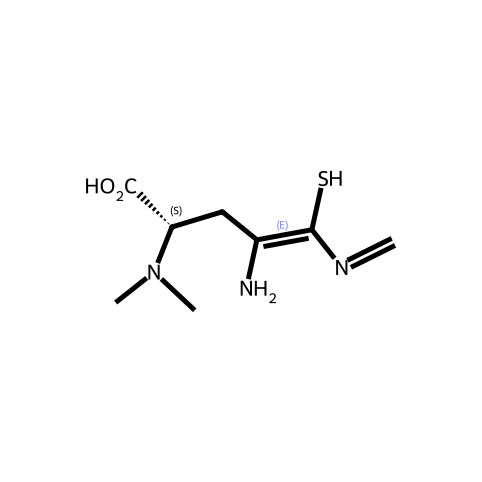 C=N/C(S)=C(\N)C[C@@H](C(=O)O)N(C)C